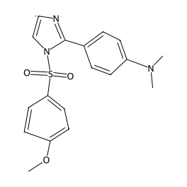 COc1ccc(S(=O)(=O)n2c[c]nc2-c2ccc(N(C)C)cc2)cc1